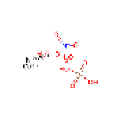 O.O.O=S(=O)(O)O.O=[N+]([O-])[O-].[Al+3].[Cu+2].[Ni+2]